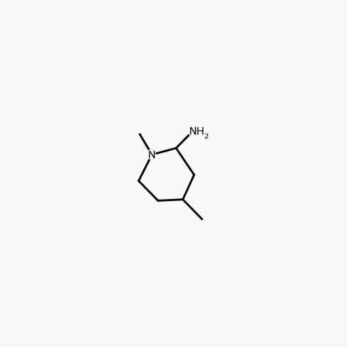 CC1CCN(C)C(N)C1